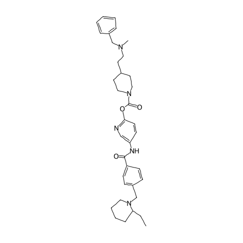 CCC1CCCCN1Cc1ccc(C(=O)Nc2ccc(OC(=O)N3CCC(CCN(C)Cc4ccccc4)CC3)nc2)cc1